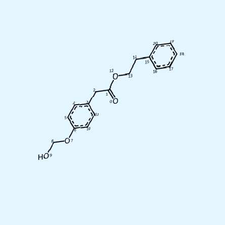 O=C(Cc1ccc(OCO)cc1)OCCc1ccccc1